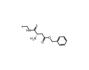 N[C@@H](CC(=O)OCc1ccccc1)C(=S)NCI